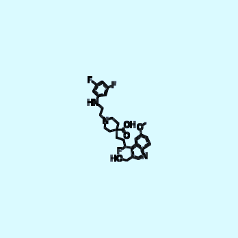 COc1ccc2ncc(CO)c(C(F)CCC3(C(=O)O)CCN(CCNc4cc(F)cc(F)c4)CC3)c2c1